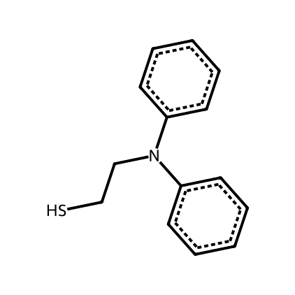 SCCN(c1ccccc1)c1ccccc1